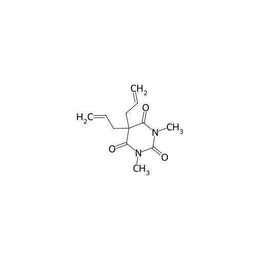 C=CCC1(CC=C)C(=O)N(C)C(=O)N(C)C1=O